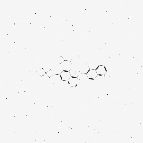 C[C@@H](Oc1cc(N2CC3(COC3)C2)cc2ncnc(Nc3ccc4ncccc4c3F)c12)C1COC1